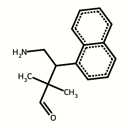 CC(C)(C=O)C(CN)c1cccc2ccccc12